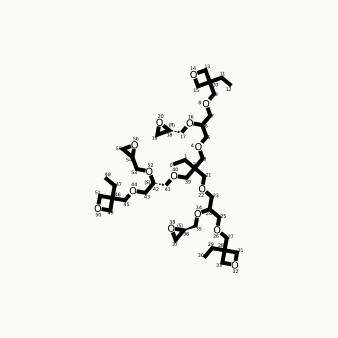 CCC(COCC(COCC1(CC)COC1)OC[C@@H]1CO1)(COCC(COCC1(CC)COC1)OC[C@H]1CO1)COC[C@H](COCC1(CC)COC1)OCC1CO1